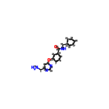 NCc1cc(Oc2cccc(C(=O)NCc3ccccc3)c2)ncn1